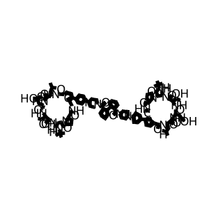 CC(C)CC1NC(=O)c2ccc(-c3ccc(N4CCN(C(=O)c5ccccc5-c5ccccc5C(=O)N5CCN(c6ccc(-c7ccc8cc7CNC(=O)C7CCCN7C(C(=O)NC(C)(C)C)C(C)NC(=O)C(C(C)O)NC(=O)C(CC(=O)O)NC(=O)C(CC(C)C)NC8=O)cc6)CC5)CC4)cc3)c(c2)CNC(=O)C2CCCN2C(C(=O)NC(C)(C)C)C(C)NC(=O)C(C(C)O)NC(=O)C(CC(=O)O)NC1=O